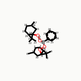 CC1CCC2C(C)(C)C2(OOB(OOC23CC(C)CCC2C3(C)C)c2ccccc2)C1